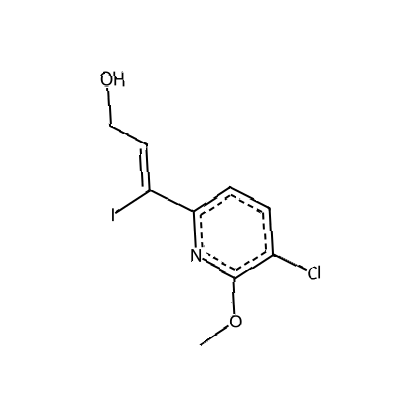 COc1nc(C(I)=CCO)ccc1Cl